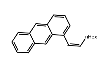 CCCCCC/C=[C]\c1cccc2cc3ccccc3cc12